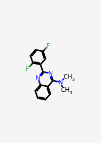 CN(C)c1nc(-c2cc(F)ccc2F)nc2ccccc12